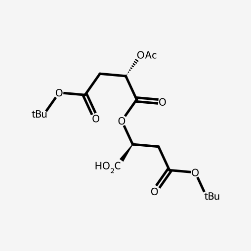 CC(=O)O[C@@H](CC(=O)OC(C)(C)C)C(=O)O[C@@H](CC(=O)OC(C)(C)C)C(=O)O